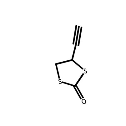 C#CC1CSC(=O)S1